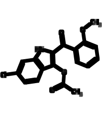 COc1ccccc1C(=O)c1[nH]c2cc(Cl)ccc2c1OC(C)=O